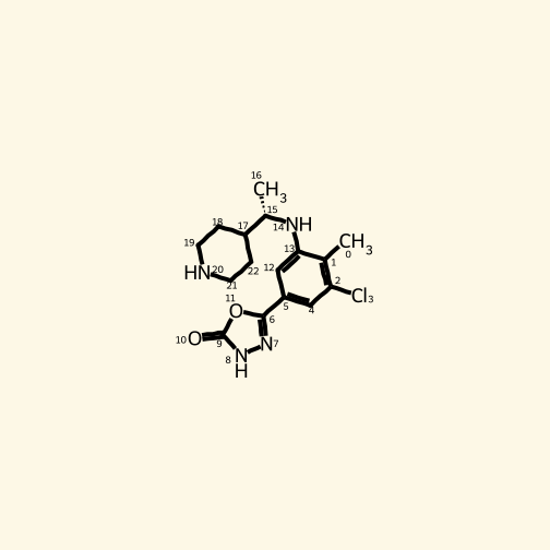 Cc1c(Cl)cc(-c2n[nH]c(=O)o2)cc1N[C@@H](C)C1CCNCC1